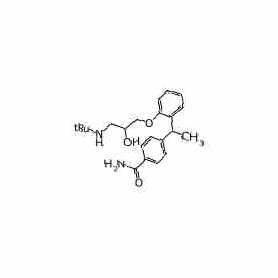 CC(c1ccc(C(N)=O)cc1)c1ccccc1OCC(O)CNC(C)(C)C